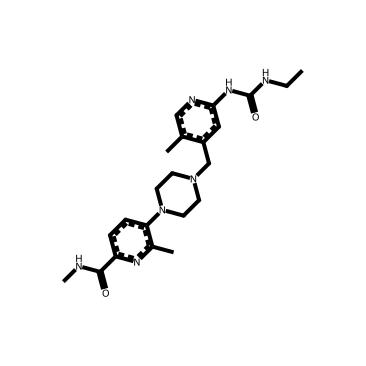 CCNC(=O)Nc1cc(CN2CCN(c3ccc(C(=O)NC)nc3C)CC2)c(C)cn1